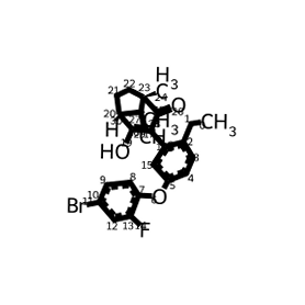 CCc1ccc(Oc2ccc(Br)cc2F)cc1C1=C(O)[C@@H]2CC[C@](C)(C1=O)C2(C)C